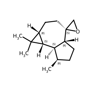 C[C@@H]1CC[C@@H]2[C@@H]1[C@H]1[C@@H](CC[C@@]23CO3)C1(C)C